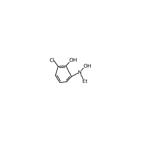 CCN(O)c1cccc(Cl)c1O